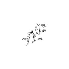 Cc1ccc2c(N[C@@H]3C4CCN(CC4)C34CC4)noc2c1Cl.Cl